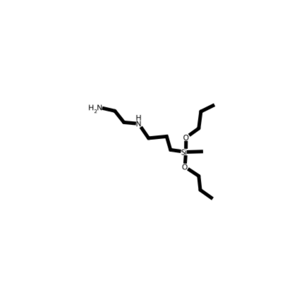 CCCO[Si](C)(CCCNCCN)OCCC